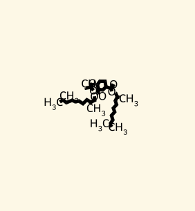 C=CC(=O)OC1(C(=O)OCC(C)CCCCCCC(C)C)CCCC(C(=O)OCC(C)CCCCCCC(C)C)C1